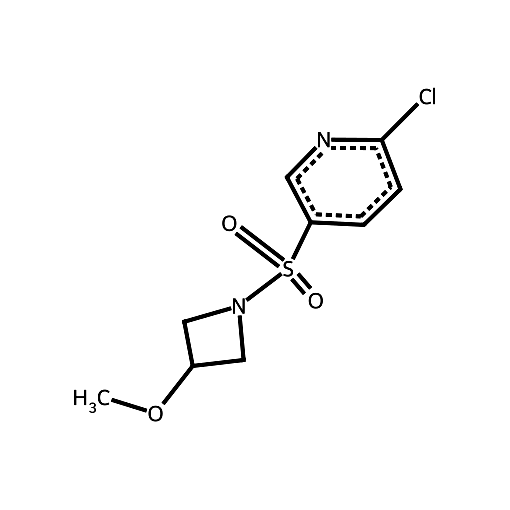 COC1CN(S(=O)(=O)c2ccc(Cl)nc2)C1